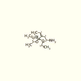 CC=C(CCN)[Si](OCC)(OCC)OCC